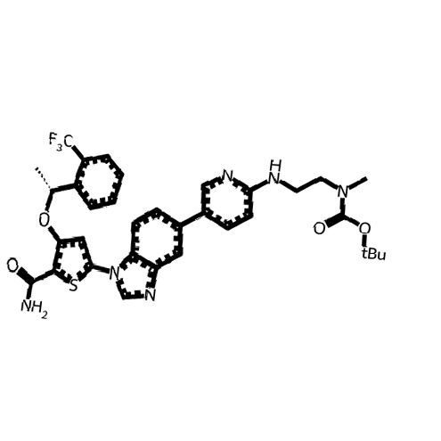 C[C@@H](Oc1cc(-n2cnc3cc(-c4ccc(NCCN(C)C(=O)OC(C)(C)C)nc4)ccc32)sc1C(N)=O)c1ccccc1C(F)(F)F